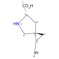 CC(C)C1C[C@]12CN[C@H](C(=O)O)C2